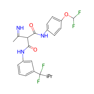 CC(=N)C(C(=O)Nc1ccc(OC(F)F)cc1)C(=O)Nc1cccc(C(F)(F)C(C)C)c1